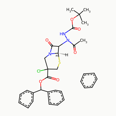 CC(=O)N(NC(=O)OC(C)(C)C)C1C(=O)N2CC(Cl)(C(=O)OC(c3ccccc3)c3ccccc3)CS[C@H]12.c1ccccc1